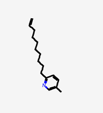 C=CCCCCCCCCc1ccc(C)cn1